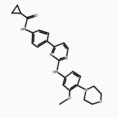 COc1cc(Nc2nccc(-c3ccc(NC(=O)C4CC4)cc3)n2)ccc1N1CCOCC1